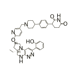 CC[C@@]12CNc3nnc(-c4ccccc4O)cc3N1C[C@H](Oc1ccc(CN3CCC(c4ccc(C5CCC(=O)NC5=O)cc4)CC3)cn1)C2